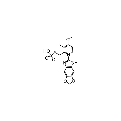 COc1cc[n+](-c2nc3cc4c(cc3[nH]2)OCO4)c(CSS(=O)(=O)O)c1C